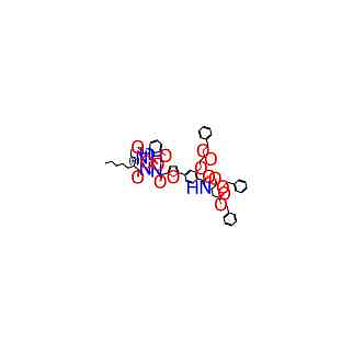 CCCCCC(C(=O)NCNC(=O)c1ccc(-c2ccc(C(=O)NC(CC(=O)OCc3ccccc3)C(=O)OCc3ccccc3)c(OCC(=O)OCc3ccccc3)c2)o1)[C@@H](CC)N(C=O)OC(=O)c1c(C)cccc1OC